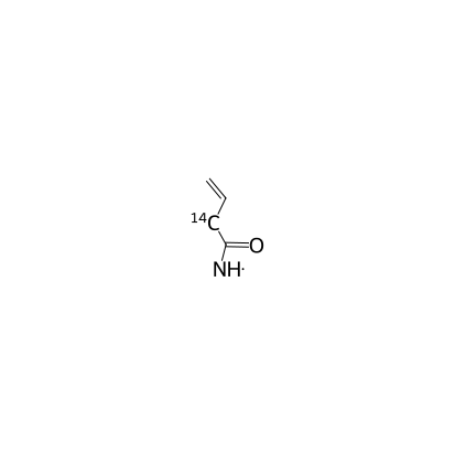 C=C[14CH2]C([NH])=O